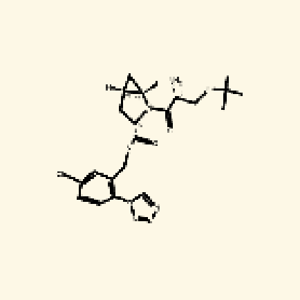 CC(C)(C)OC[C@@H](N)C(=O)N1[C@H](C(=O)NCc2cc(Cl)ccc2-n2cnnn2)C[C@@H]2C[C@@H]21